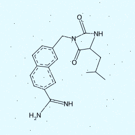 CC(C)CC1NC(=O)N(Cc2ccc3ccc(C(=N)N)cc3c2)C1=O